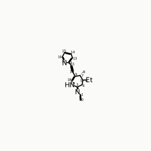 C=C/N=C1\CC(CC)[C@@H](C)C(C#Cc2ccccn2)=CN1